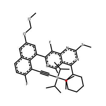 COCOc1cc(-c2nc(C)c3c(C4CCCCC4)nc(SC)nc3c2F)c2c(C#C[Si](C(C)C)(C(C)C)C(C)C)c(F)ccc2c1